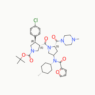 CN1CCN(C(=O)[C@@H]2CC(N(C(=O)c3ccco3)[C@H]3CC[C@@H](C)CC3)CN2C(=O)[C@@H]2CN(C(=O)OC(C)(C)C)C[C@H]2c2ccc(Cl)cc2)CC1